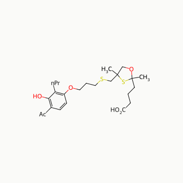 CCCc1c(OCCCSCC2(C)COC(C)(CCCC(=O)O)S2)ccc(C(C)=O)c1O